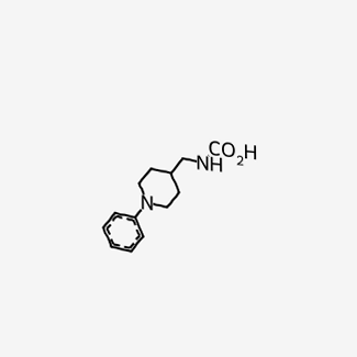 O=C(O)NCC1CCN(c2ccccc2)CC1